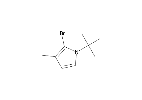 Cc1ccn(C(C)(C)C)c1Br